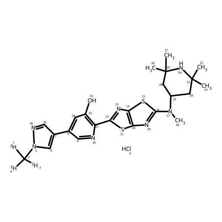 Cl.[2H]C([2H])([2H])n1cc(-c2cnc(-c3nc4sc(N(C)C5CC(C)(C)NC(C)(C)C5)nc4s3)c(O)c2)cn1